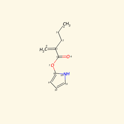 C=C(CCC)C(=O)Oc1ccc[nH]1